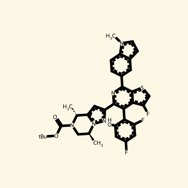 C[C@@H]1c2cc(-c3nc(-c4ccc5c(ccn5C)c4)c4scc(F)c4c3-c3c(O)cc(F)cc3F)nn2[C@@H](C)CN1C(=O)OC(C)(C)C